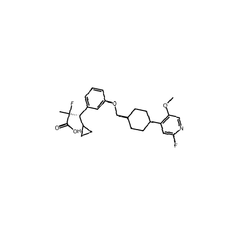 COc1cnc(F)cc1C1CCC(COc2cccc([C@H](C3CC3)C(C)(F)C(=O)O)c2)CC1